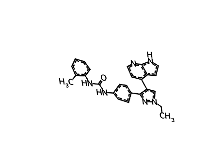 CCn1cc(-c2ccnc3[nH]ccc23)c(-c2ccc(NC(=O)Nc3ccccc3C)cc2)n1